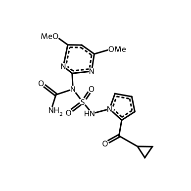 COc1cc(OC)nc(N(C(N)=O)S(=O)(=O)Nn2cccc2C(=O)C2CC2)n1